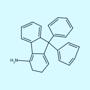 NC1=C2C(=CCC1)C(c1ccccc1)(c1ccccc1)c1ccccc12